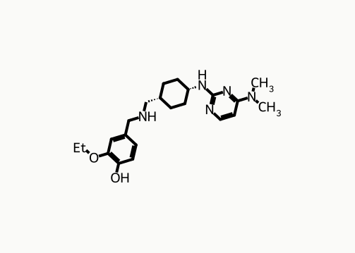 CCOc1cc(CNC[C@H]2CC[C@@H](Nc3nccc(N(C)C)n3)CC2)ccc1O